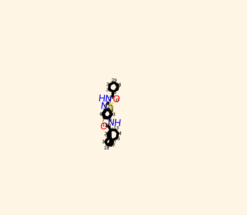 O=C(Nc1nc2ccc(NC(=O)C34CCCC5CC(CC5C3)C4)cc2s1)C1CCCCC1